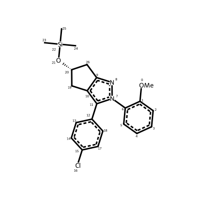 COc1ccccc1-n1nc2c(c1-c1ccc(Cl)cc1)C[C@H](O[Si](C)(C)C)C2